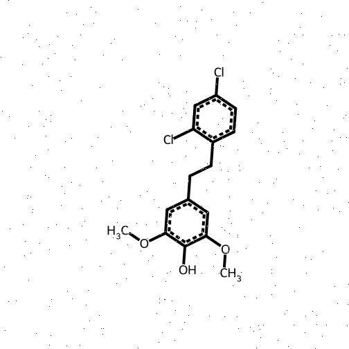 COc1cc(CCc2ccc(Cl)cc2Cl)cc(OC)c1O